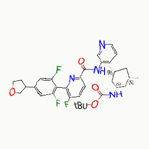 C[C@@H]1C[C@H](NC(=O)OC(C)(C)C)C[C@H](c2ccncc2NC(=O)c2ccc(F)c(-c3c(F)cc(C4CCOC4)cc3F)n2)C1